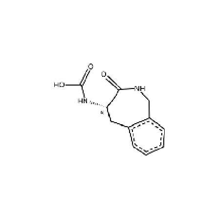 O=C(O)N[C@H]1Cc2ccccc2CNC1=O